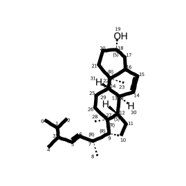 CC(C)C(C)C=C[C@@H](C)[C@H]1CC[C@H]2[C@@H]3C=CC4C[C@@H](O)CC[C@]4(C)[C@H]3CC[C@]12C